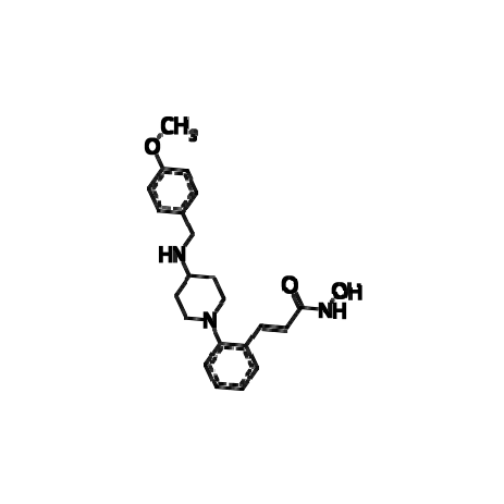 COc1ccc(CNC2CCN(c3ccccc3C=CC(=O)NO)CC2)cc1